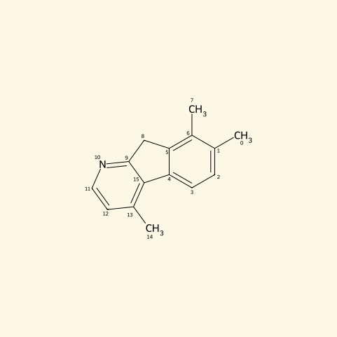 Cc1ccc2c(c1C)Cc1nccc(C)c1-2